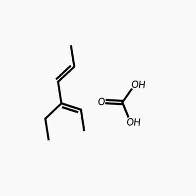 CC=CC(=CC)CC.O=C(O)O